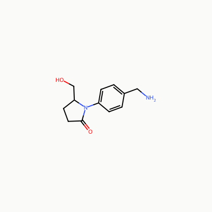 NCc1ccc(N2C(=O)CCC2CO)cc1